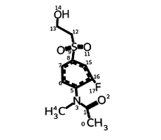 CC(=O)N(C)c1ccc(S(=O)(=O)CCO)cc1F